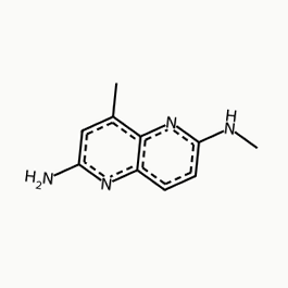 CNc1ccc2nc(N)cc(C)c2n1